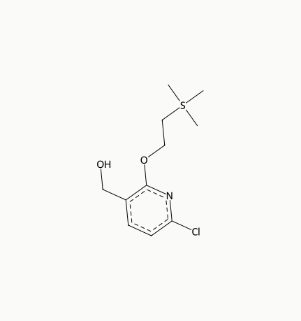 CS(C)(C)CCOc1nc(Cl)ccc1CO